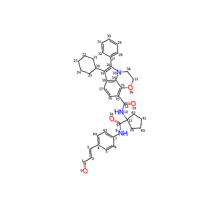 O=C/C=C/c1ccc(NC(=O)C2(NC(=O)c3ccc4c(C5CCCCC5)c(-c5ccccc5)n5c4c3OCC5)CCCC2)cc1